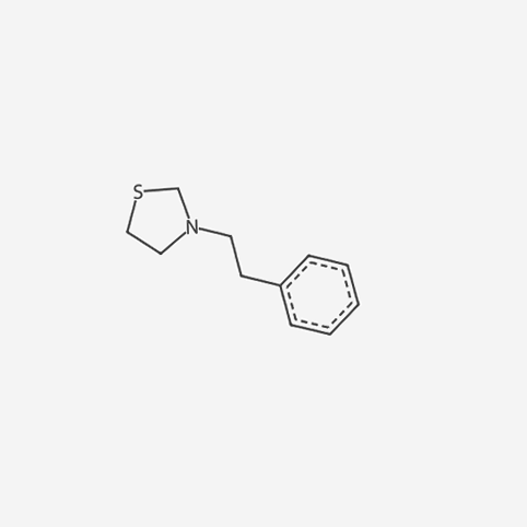 c1ccc(CCN2CCSC2)cc1